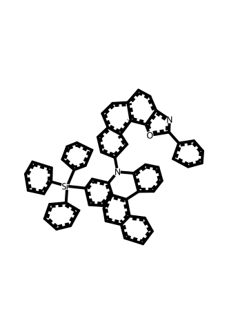 c1ccc(-c2nc3ccc4ccc5ccc(N(c6cccc([Si](c7ccccc7)(c7ccccc7)c7ccccc7)c6)c6ccccc6-c6cccc7ccccc67)cc5c4c3o2)cc1